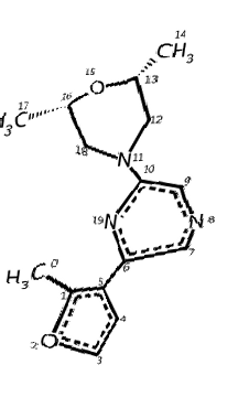 Cc1occc1-c1cncc(N2C[C@@H](C)O[C@@H](C)C2)n1